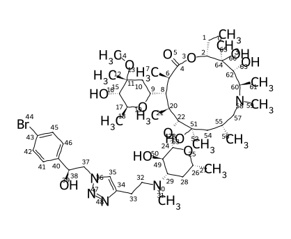 CC[C@H]1OC(=O)[C@H](C)[C@@H](C2C[C@@](C)(OC)[C@@H](O)[C@H](C)O2)[C@H](C)[C@@H](O[C@@H]2O[C@H](C)C[C@H](N(C)CCc3cn(C[C@@H](O)c4ccc(Br)cc4)nn3)[C@H]2O)[C@](C)(O)C[C@@H](C)CN(C)[C@H](C)[C@@H](O)[C@]1(C)O